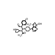 CC(=O)N(C1CCNC1)C(C(C=O)c1ccc(Cl)cc1)N1CCN(c2ncnc3c2[C@H](C)C[C@H]3O)CC1